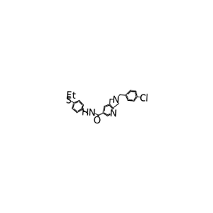 CCSc1ccc(CNC(=O)c2cnc3c(c2)CN(Cc2ccc(Cl)cc2)C3)cc1